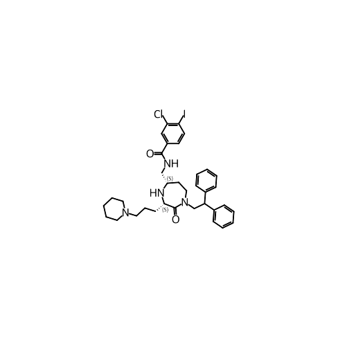 O=C(NC[C@@H]1CCN(CC(c2ccccc2)c2ccccc2)C(=O)[C@H](CCCN2CCCCC2)N1)c1ccc(I)c(Cl)c1